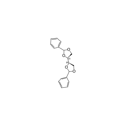 c1ccc(C2OC[C@@H]([C@H]3COC(c4ccccc4)O3)O2)cc1